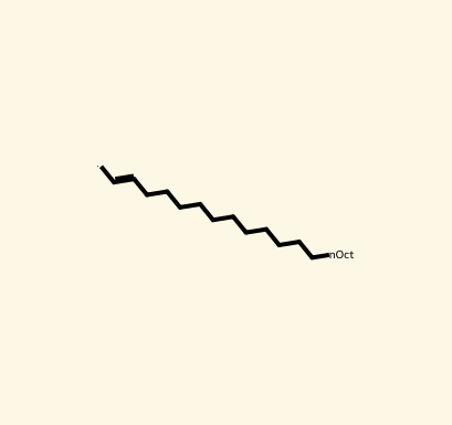 [CH2]C=CCCCCCCCCCCCCCCCCCC[CH2]